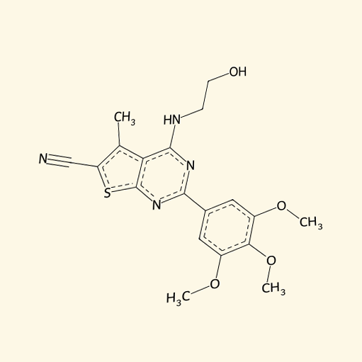 COc1cc(-c2nc(NCCO)c3c(C)c(C#N)sc3n2)cc(OC)c1OC